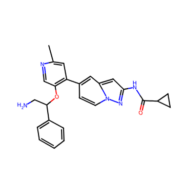 Cc1cc(-c2ccn3nc(NC(=O)C4CC4)cc3c2)c(OC(CN)c2ccccc2)cn1